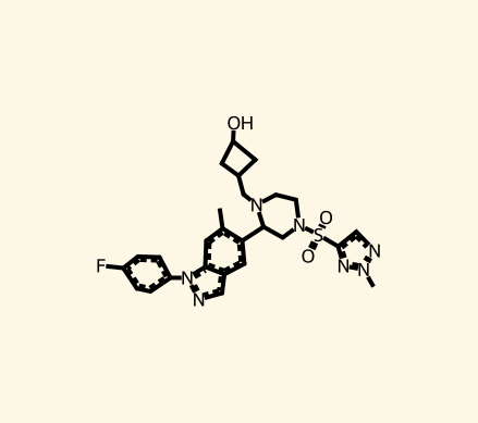 Cc1cc2c(cnn2-c2ccc(F)cc2)cc1C1CN(S(=O)(=O)c2cnn(C)n2)CCN1CC1CC(O)C1